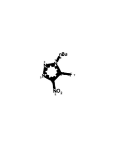 CCCCn1nnc([N+](=O)[O-])c1F